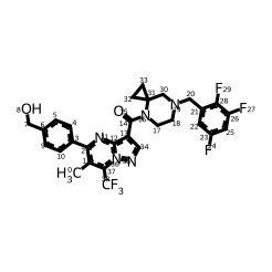 Cc1c(-c2ccc(CO)cc2)nc2c(C(=O)N3CCN(Cc4cc(F)cc(F)c4F)CC34CC4)cnn2c1C(F)(F)F